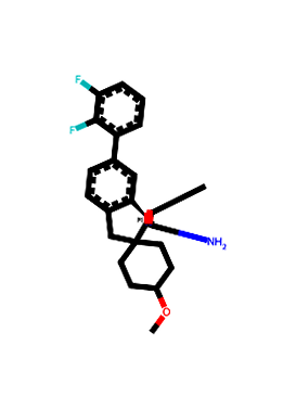 COC1CCC2(CC1)Cc1ccc(-c3cccc(F)c3F)cc1[C@@]21N=C(C)C(N)=N1